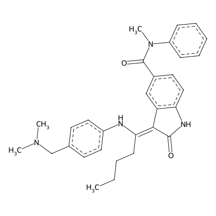 CCCCC(Nc1ccc(CN(C)C)cc1)=C1C(=O)Nc2ccc(C(=O)N(C)c3ccccc3)cc21